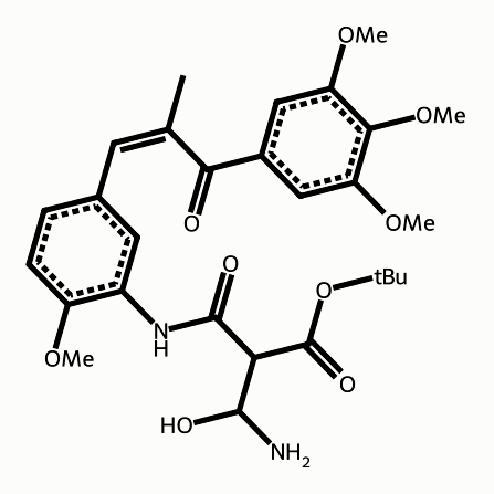 COc1ccc(C=C(C)C(=O)c2cc(OC)c(OC)c(OC)c2)cc1NC(=O)C(C(=O)OC(C)(C)C)C(N)O